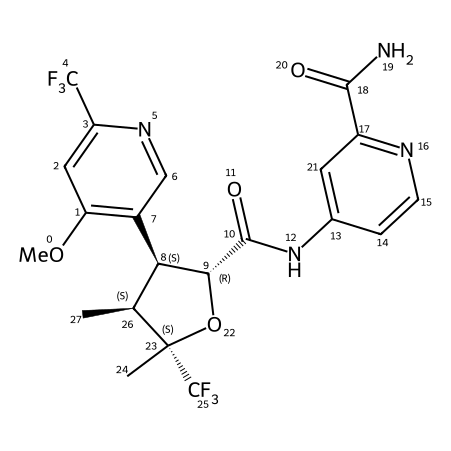 COc1cc(C(F)(F)F)ncc1[C@H]1[C@H](C(=O)Nc2ccnc(C(N)=O)c2)O[C@](C)(C(F)(F)F)[C@H]1C